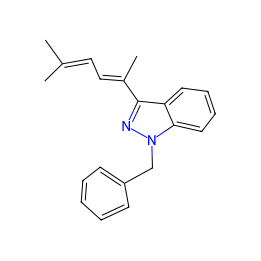 CC(C)=C/C=C(\C)c1nn(Cc2ccccc2)c2ccccc12